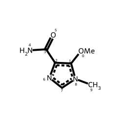 COc1c(C(N)=O)ncn1C